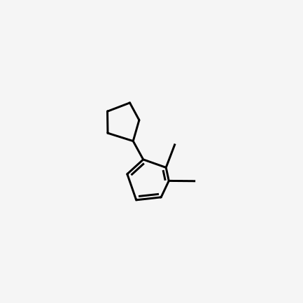 Cc1cccc(C2CCCC2)c1C